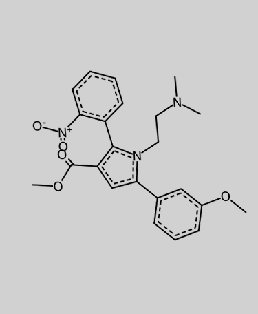 COC(=O)c1cc(-c2cccc(OC)c2)n(CCN(C)C)c1-c1ccccc1[N+](=O)[O-]